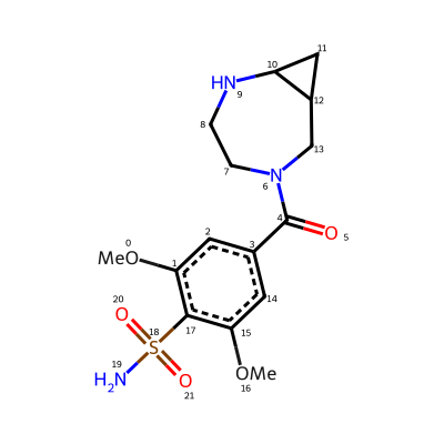 COc1cc(C(=O)N2CCNC3CC3C2)cc(OC)c1S(N)(=O)=O